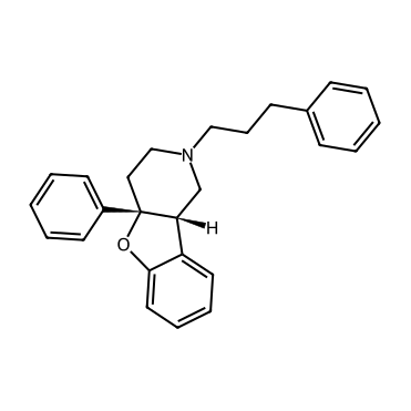 c1ccc(CCCN2CC[C@@]3(c4ccccc4)Oc4ccccc4[C@H]3C2)cc1